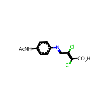 CC(=O)Nc1ccc(N=CC(Cl)=C(Cl)C(=O)O)cc1